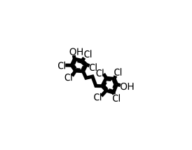 Oc1c(Cl)c(Cl)c(CCCc2c(Cl)c(Cl)c(O)c(Cl)c2Cl)c(Cl)c1Cl